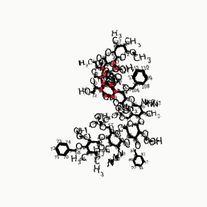 CO[C@H]1OC(COS(=O)(=O)O)[C@@H](O[C@@H]2OC(C)C(O[C@@H]3OC(CO)[C@@H](O[C@@H]4OC(C)[C@@H](O[C@@H]5OC(COS(=O)(=O)O)[C@@H](O[C@@H]6OC(C)[C@@H](O[C@@H]7OC(COS(=O)(=O)O)[C@@H](O[C@@H]8OC(C)[C@@H](C)[C@@H](OCc9ccccc9)C8OOO)[C@H](C)C7N=[N+]=[N-])[C@@H](OCc7ccccc7)C6OOO)[C@H](C)C5N=[N+]=[N-])[C@@H](OCc5ccccc5)C4OOO)[C@H](C)C3N=[N+]=[N-])[C@@H](OCc3ccccc3)C2OOO)[C@H](C)C1C